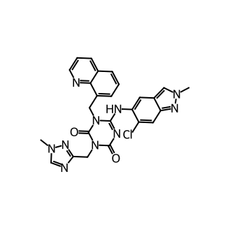 Cn1cnc(Cn2c(=O)nc(Nc3cc4cn(C)nc4cc3Cl)n(Cc3cccc4cccnc34)c2=O)n1